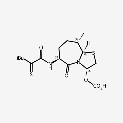 CCC(C)C(=S)C(=O)N[C@H]1CC[C@H](C)[C@H]2SC[C@H](OC(=O)O)N2C1=O